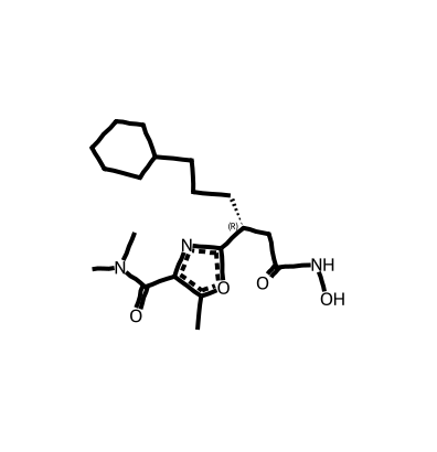 Cc1oc([C@H](CCCC2CCCCC2)CC(=O)NO)nc1C(=O)N(C)C